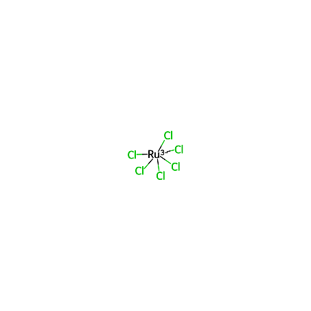 [Cl][Ru-3]([Cl])([Cl])([Cl])([Cl])[Cl]